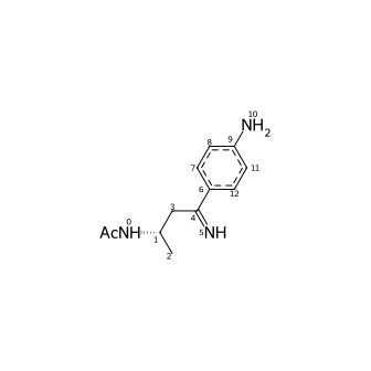 CC(=O)N[C@@H](C)CC(=N)c1ccc(N)cc1